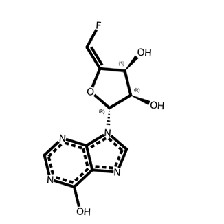 Oc1ncnc2c1ncn2[C@@H]1OC(=CF)[C@@H](O)[C@H]1O